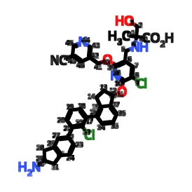 CC(CO)(NCc1cc(Cl)c(O[C@H]2CCc3c(-c4cccc(-c5ccc6c(c5)C[C@@H](N)C6)c4Cl)cccc32)nc1OCc1cncc(C#N)c1)C(=O)O